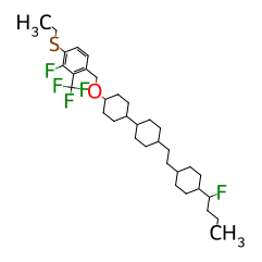 CCCC(F)C1CCC(CCC2CCC(C3CCC(OCc4ccc(SCC)c(F)c4C(F)(F)F)CC3)CC2)CC1